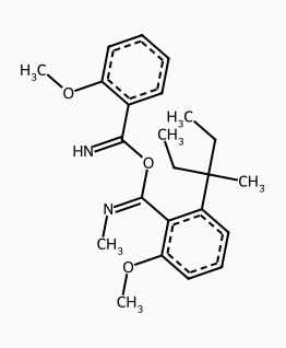 CCC(C)(CC)c1cccc(OC)c1/C(=N\C)OC(=N)c1ccccc1OC